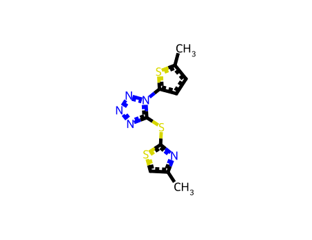 Cc1csc(Sc2nnnn2-c2ccc(C)s2)n1